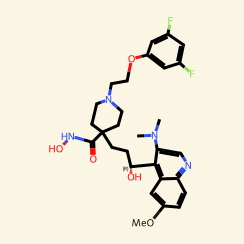 COc1ccc2ncc(N(C)C)c([C@H](O)CCC3(C(=O)NO)CCN(CCOc4cc(F)cc(F)c4)CC3)c2c1